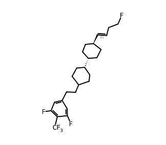 FCC/C=C/[C@H]1CC[C@H](C2CCC(CCc3cc(F)c(C(F)(F)F)c(F)c3)CC2)CC1